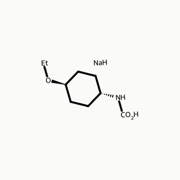 CCO[C@H]1CC[C@H](NC(=O)O)CC1.[NaH]